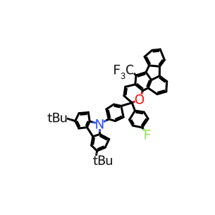 CC(C)(C)c1ccc2c(c1)c1cc(C(C)(C)C)ccc1n2-c1ccc(C2(c3ccc(F)cc3)C=Cc3c(C(F)(F)F)c4c5c(cccc5c3O2)-c2ccccc2-4)cc1